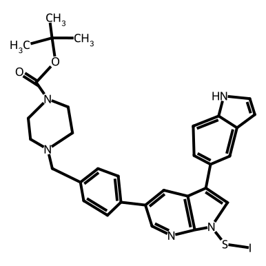 CC(C)(C)OC(=O)N1CCN(Cc2ccc(-c3cnc4c(c3)c(-c3ccc5[nH]ccc5c3)cn4SI)cc2)CC1